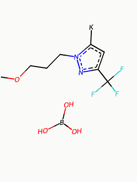 COCCCn1nc(C(F)(F)F)c[c]1[K].OB(O)O